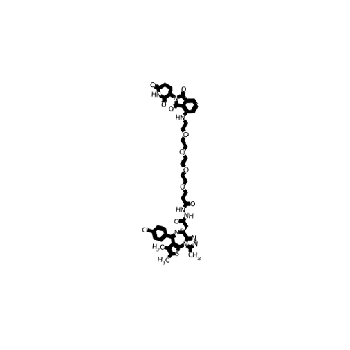 Cc1sc2c(c1C)C(c1ccc(Cl)cc1)=N[C@@H](CC(=O)NNC(=O)CCOCCOCCOCCOCCNc1cccc3c1C(=O)N(C1CCC(=O)NC1=O)C3=O)c1nnc(C)n1-2